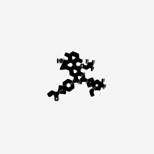 C=CC(=O)N1CC2(CCN(c3nc(N4CC5(C4)CC(F)(F)CN5CC)nc4c(OCC(F)(F)F)c(-c5c(C)ccc(C)c5C=N)c(C5CC5)cc34)CC2)C1